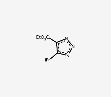 [CH2]C(C)c1snnc1C(=O)OCC